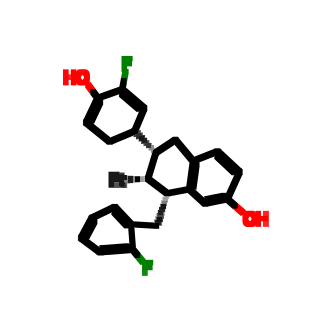 CC[C@H]1[C@@H](Cc2ccccc2F)c2cc(O)ccc2C[C@H]1C1C=C(F)C(O)=CC1